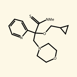 CNC(=S)C(CN1CCOCC1)(OCC1CC1)c1ccccn1